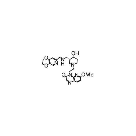 COc1ccc2ncc(=O)n(CCN3CC[C@@H](O)[C@@H](CNCc4cc5c(cn4)OCCO5)C3)c2n1